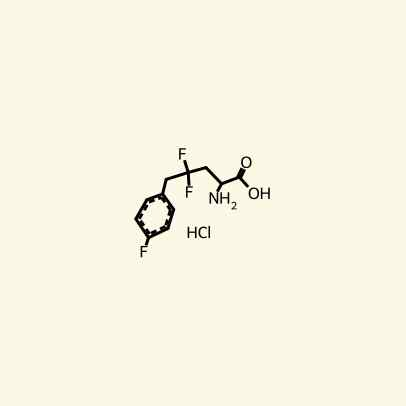 Cl.NC(CC(F)(F)Cc1ccc(F)cc1)C(=O)O